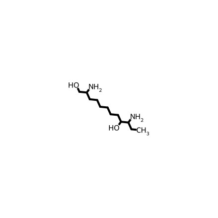 CCC(N)C(O)CCCCCCC(N)CO